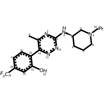 Cc1nc(N[C@@H]2CCCN(C(C)C)C2)nnc1-c1ccc(C(F)(F)F)cc1O